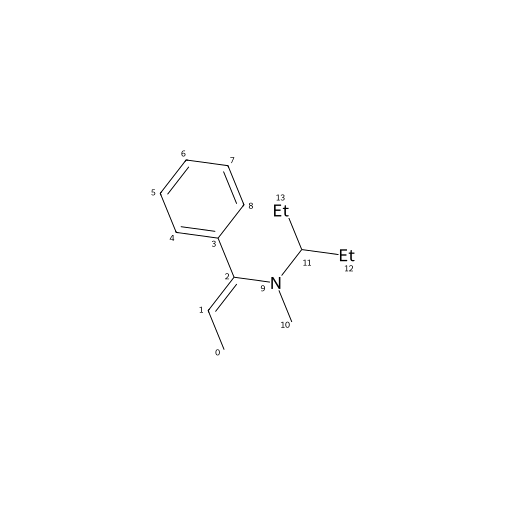 C/C=C(/c1ccccc1)N(C)C(CC)CC